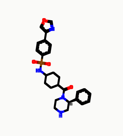 O=C(C1CCC(NS(=O)(=O)c2ccc(-c3cocn3)cc2)CC1)N1CCNC[C@@H]1c1ccccc1